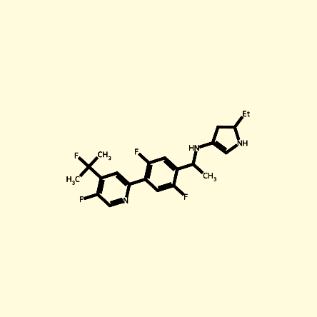 CCC1CC(NC(C)c2cc(F)c(-c3cc(C(C)(C)F)c(F)cn3)cc2F)=CN1